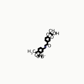 CC(Oc1ccc(C(=O)/C=C/c2ccc(C(C)C)c([N+](=O)[O-])c2)cc1)C(=O)O